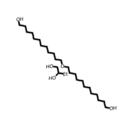 CCC(O)CO.OCCCCCCCCCCCCOCCCCCCCCCCCCO